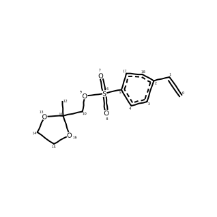 C=Cc1ccc(S(=O)(=O)OCC2(C)OCCO2)cc1